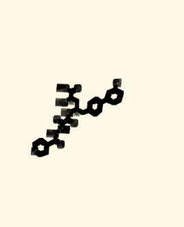 O=C(NNC(=O)c1ccncc1)C(=O)N[C@H](Cc1ccc(-c2cccc(Cl)c2)cc1)C[C@@H](O)C(=O)O